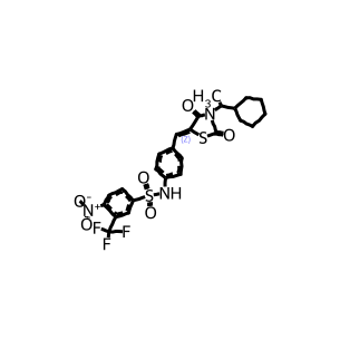 CC(C1CCCCC1)N1C(=O)S/C(=C\c2ccc(NS(=O)(=O)c3ccc([N+](=O)[O-])c(C(F)(F)F)c3)cc2)C1=O